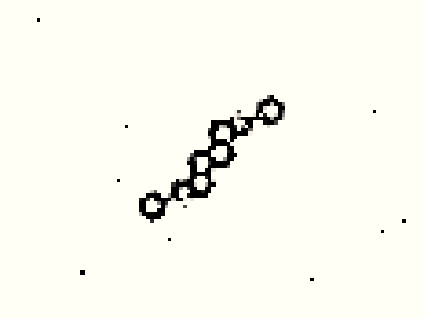 c1ccc(-c2cc3c(ccc4c3ccc3c5ccc6sc(-c7ccccc7)cc6c5ccc43)s2)cc1